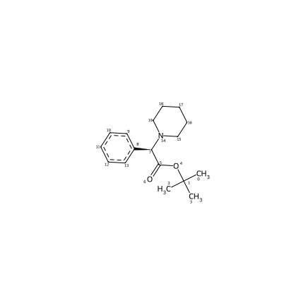 CC(C)(C)OC(=O)[C@@H](c1ccccc1)N1CCCCC1